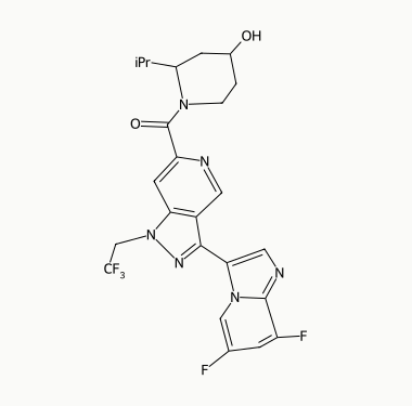 CC(C)C1CC(O)CCN1C(=O)c1cc2c(cn1)c(-c1cnc3c(F)cc(F)cn13)nn2CC(F)(F)F